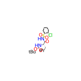 CC(C)C[C@H](NC(=O)OC(C)(C)C)C(=O)NS(=O)(=O)c1ccccc1Cl